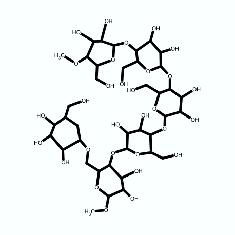 COC1OC(COC2CC(CO)C(O)C(O)C2O)C(OC2OC(CO)C(OC3OC(CO)C(OC4OC(CO)C(OC5OC(CO)C(OC)C(O)C5O)C(O)C4O)C(O)C3O)C(O)C2O)C(O)C1O